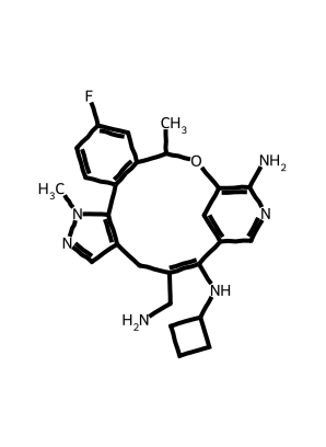 CC1Oc2cc(cnc2N)/C(NC2CCC2)=C(/CN)Cc2cnn(C)c2-c2ccc(F)cc21